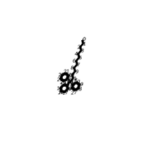 CCCCCCCCCCCC[N+](c1ccccc1)(c1ccccc1)c1ccccc1